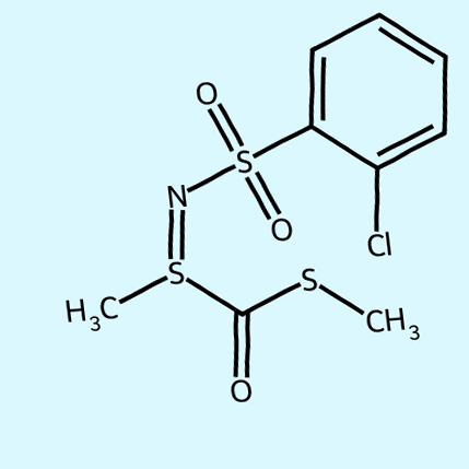 CSC(=O)S(C)=NS(=O)(=O)c1ccccc1Cl